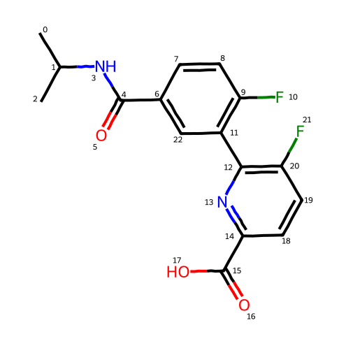 CC(C)NC(=O)c1ccc(F)c(-c2nc(C(=O)O)ccc2F)c1